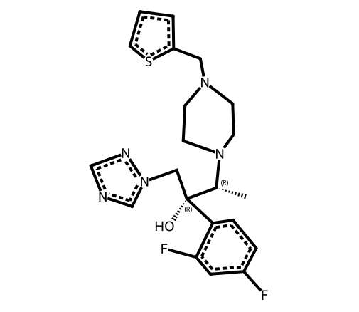 C[C@@H](N1CCN(Cc2cccs2)CC1)[C@](O)(Cn1cncn1)c1ccc(F)cc1F